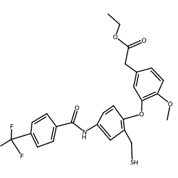 CCOC(=O)Cc1ccc(OC)c(Oc2ccc(NC(=O)c3ccc(C(F)(F)F)cc3)cc2CS)c1